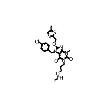 Cc1cnc(COc2nc3c(c(=O)n(CCCOPI)c(=O)n3C)n2Cc2ccc(Cl)cc2)s1